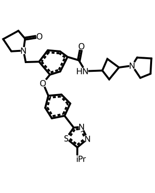 CC(C)c1nnc(-c2ccc(Oc3cc(C(=O)NC4CC(N5CCCC5)C4)ccc3CN3CCCC3=O)cc2)s1